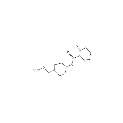 CN1CCCCC1C(=O)ON1CCC(CO[N+](=O)[O-])CC1